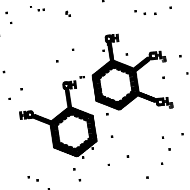 Cc1cccc(O)c1C.Oc1ccccc1O